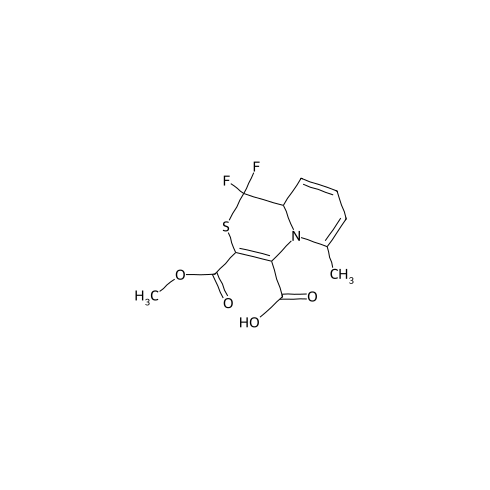 COC(=O)C1=C(C(=O)O)N2C(C)=CC=CC2C(F)(F)S1